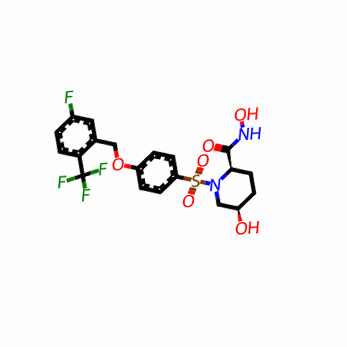 O=C(NO)[C@H]1CC[C@@H](O)CN1S(=O)(=O)c1ccc(OCc2cc(F)ccc2C(F)(F)F)cc1